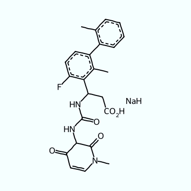 Cc1ccccc1-c1ccc(F)c(C(CC(=O)O)NC(=O)NC2C(=O)C=CN(C)C2=O)c1C.[NaH]